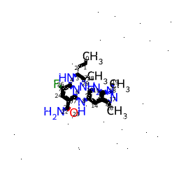 CCC[C@@H](Nc1nc(Nc2cnc3c(c2)c(C)nn3C)c(C(N)=O)cc1F)[C@H](C)N